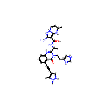 Cc1ccn2nc(N)c(C(=O)NC(C)c3nc4cccc(C#Cc5cnn(C)c5C)c4c(=O)n3CCc3c[nH]cn3)c2n1